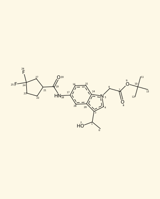 CC(O)c1cn(CC(=O)OC(C)(C)C)c2ccc(NC(=O)C3CCC(F)(F)C3)cc12